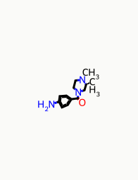 C[C@H]1CN(C(=O)c2ccc(N)cc2)CCN1C